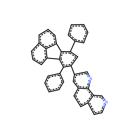 c1ccc(-c2cc(-c3cnc4c(ccc5ccncc54)c3)c(-c3ccccc3)c3c2-c2cccc4cccc-3c24)cc1